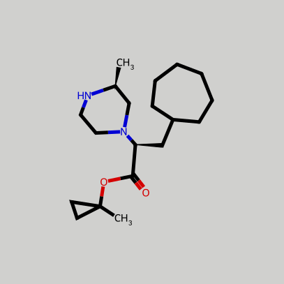 C[C@H]1CN([C@@H](CC2CCCCCC2)C(=O)OC2(C)CC2)CCN1